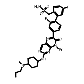 CC(C)n1c(=O)c(-c2ccc(-c3cc(F)ccc3CS(N)(=O)=O)c(F)c2)nc2cnc(NC3CCC(N(C)CCF)CC3)nc21